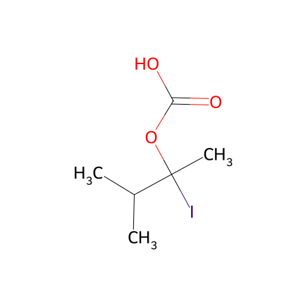 CC(C)C(C)(I)OC(=O)O